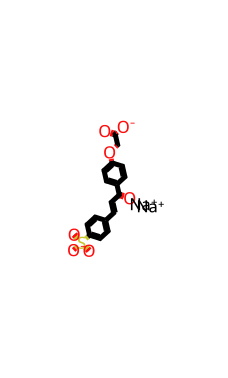 O=C([O-])COc1ccc(C(=O)C=Cc2ccc(S(=O)(=O)[O-])cc2)cc1.[Na+].[Na+]